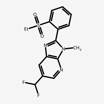 CCS(=O)(=O)c1ccccc1-c1nc2cc(C(F)F)cnc2n1C